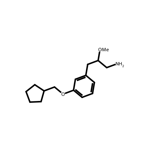 COC(CN)Cc1cccc(OCC2CCCC2)c1